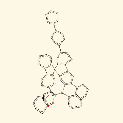 CN(c1ccccc1)c1ccc2c(c1)C1(c3ccccc3-2)c2cc(-c3ccc(-c4ccccc4)cc3)ccc2-c2cc(-c3ccccc3)c(N(c3ccccc3)c3ccccc3)cc21